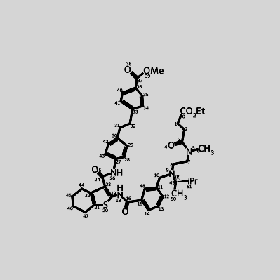 CCOC(=O)CCC(=O)N(C)CCN(Cc1cccc(C(=O)Nc2sc3c(c2C(=O)Nc2ccc(CCc4ccc(C(=O)OC)cc4)cc2)CCCC3)c1)[C@H](C)C(C)C